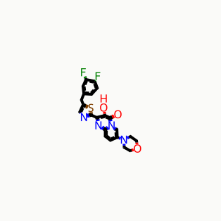 O=c1c(O)c(-c2ncc(Cc3ccc(F)c(F)c3)s2)nc2ccc(N3CCOCC3)cn12